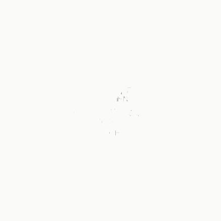 COCCOc1cc2c(cc1O)[C@@]13CCCCC1[C@@H](C2)NCC3